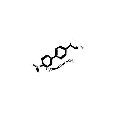 C=CC(F)c1ccc(-c2ccc([N+](=O)[O-])cc2)cc1.CCOCC